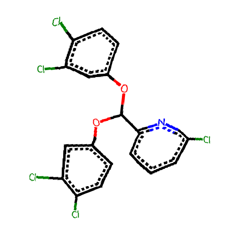 Clc1cccc(C(Oc2ccc(Cl)c(Cl)c2)Oc2ccc(Cl)c(Cl)c2)n1